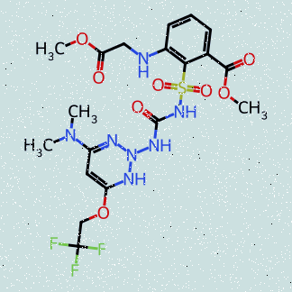 COC(=O)CNc1cccc(C(=O)OC)c1S(=O)(=O)NC(=O)NN1N=C(N(C)C)C=C(OCC(F)(F)F)N1